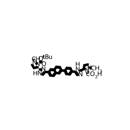 CN1CCC(c2ncc(-c3ccc(-c4ccc5cc(-c6c[nH]c([C@@H]7CCN(C)N7C(=O)OC(C)(C)C)n6)ccc5c4)cc3)[nH]2)N1C(=O)O